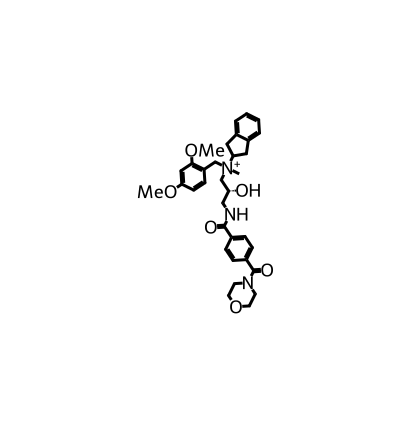 COc1ccc(C[N+](C)(C[C@H](O)CNC(=O)c2ccc(C(=O)N3CCOCC3)cc2)C2Cc3ccccc3C2)c(OC)c1